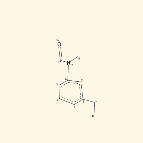 CCc1cccc(N(C)[C]=O)c1